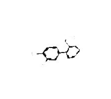 CCc1ccccc1-c1ccc(F)c(F)c1